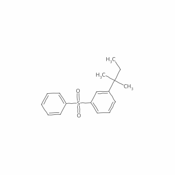 CCC(C)(C)c1cccc(S(=O)(=O)c2ccccc2)c1